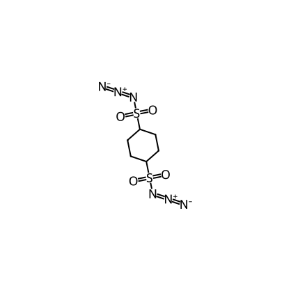 [N-]=[N+]=NS(=O)(=O)C1CCC(S(=O)(=O)N=[N+]=[N-])CC1